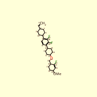 C=CC1CCC(c2ccc(C3CCC(OCC4CCC(OC)C=C4F)CC3)c(F)c2F)CC1